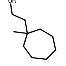 CC1(CCO)CCCCCC1